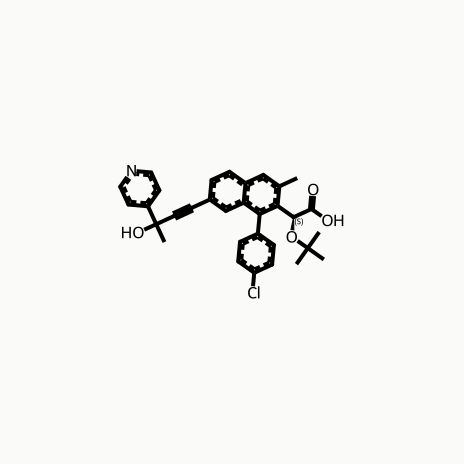 Cc1cc2ccc(C#CC(C)(O)c3ccncc3)cc2c(-c2ccc(Cl)cc2)c1[C@H](OC(C)(C)C)C(=O)O